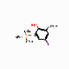 CCCC[PH](CCCC)(CCCC)CCCC.O=C(O)c1cc(I)ccc1O